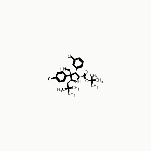 CC(C)(C)C[C@@H]1N[C@@H](C(=O)OC(C)(C)C)[C@@H](c2cccc(Cl)c2)[C@@]1(CN)c1ccc(Cl)cc1